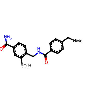 CNCc1ccc(C(=O)NCc2ccc(C(N)=O)cc2S(=O)(=O)O)cc1